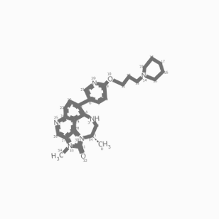 C[C@H]1CNc2c(-c3ccc(OCCCN4CCCCC4)nc3)ccc3ncc4c(c23)n1c(=O)n4C